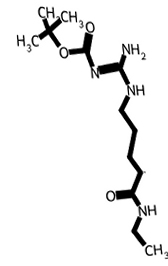 CCNC(=O)[CH]CCCNC(N)=NC(=O)OC(C)(C)C